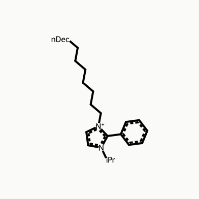 CCCCCCCCCCCCCCCCC[n+]1ccn(C(C)C)c1-c1ccccc1